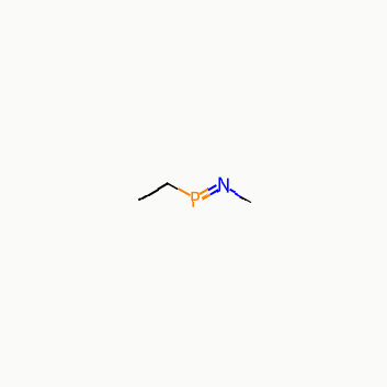 CCP=NC